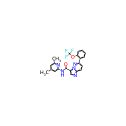 Cc1cc(C)nc(NC(=O)c2cnc3ccc(-c4ccccc4OC(F)(F)F)nn23)c1